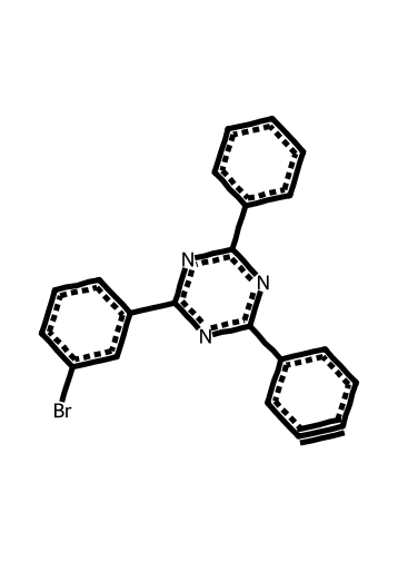 Brc1cccc(-c2nc(-c3cc#ccc3)nc(-c3ccccc3)n2)c1